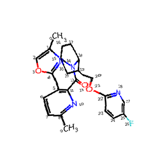 Cc1coc(-c2ccc(C)nc2C(=O)N2C3CCC2C(COc2ccc(F)cn2)C3)n1